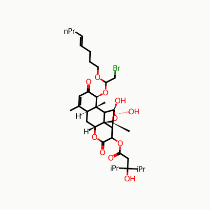 CCC/C=C/CCCOC(CBr)O[C@@H]1C(=O)C=C(C)[C@@H]2C[C@H]3OC(=O)C(OC(=O)CC(O)(C(C)C)C(C)C)C4[C@@H](C)[C@@H](O)[C@@]5(O)OC[C@@]43C5[C@@]12C